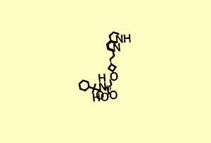 CC(C)(C(=O)N[C@@H](CCO[C@H]1C[C@H](CCc2ccc3c(n2)NCCC3)C1)C(=O)O)C1CCCCC1